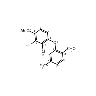 COc1ccc(Oc2cc(C(F)(F)F)ccc2C=O)c(Cl)c1F